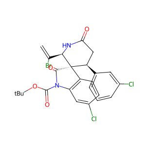 C=C(Br)[C@H]1NC(=O)C[C@@H](c2cccc(Cl)c2)[C@]12C(=O)N(C(=O)OC(C)(C)C)c1cc(Cl)ccc12